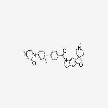 Cc1cc(-n2ccncc2=O)ccc1-c1ccc(C(=O)N2CCc3cc4c(cc32)C2(CCN(C)CC2)CO4)cc1